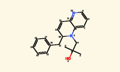 CC(C)(O)CN1c2cccnc2C=CC1Cc1ccccc1